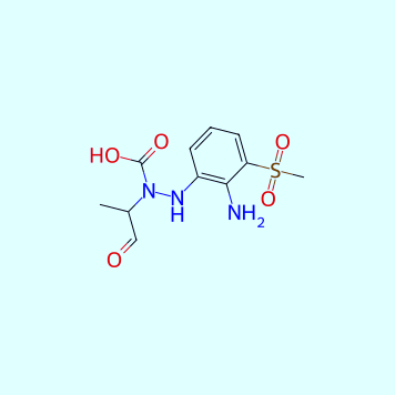 CC(C=O)N(Nc1cccc(S(C)(=O)=O)c1N)C(=O)O